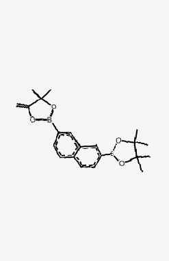 C=C1OB(c2ccc3ccc(B4OC(C)(C)C(C)(C)O4)cc3c2)OC1(C)C